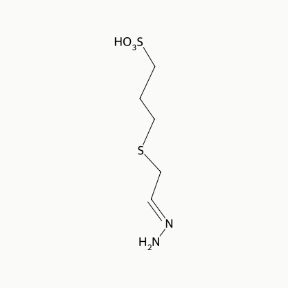 NN=CCSCCCS(=O)(=O)O